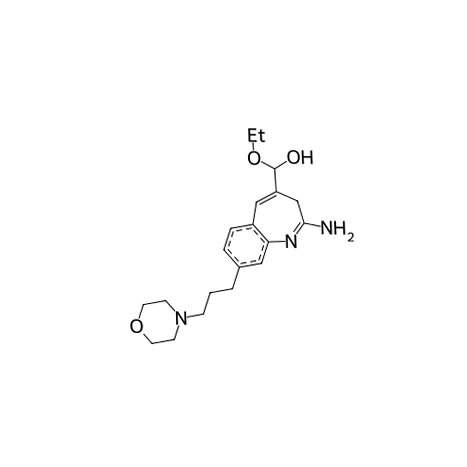 CCOC(O)C1=Cc2ccc(CCCN3CCOCC3)cc2N=C(N)C1